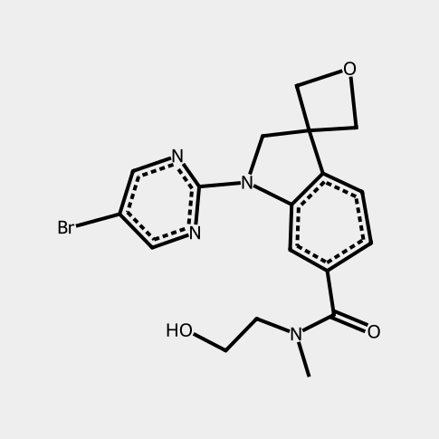 CN(CCO)C(=O)c1ccc2c(c1)N(c1ncc(Br)cn1)CC21COC1